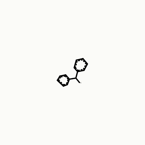 [CH]C(c1ccccc1)c1ccccc1